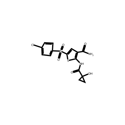 NC(=O)c1cc(S(=O)(=O)c2ccc(Cl)cc2)sc1NC(=O)C1(O)CC1